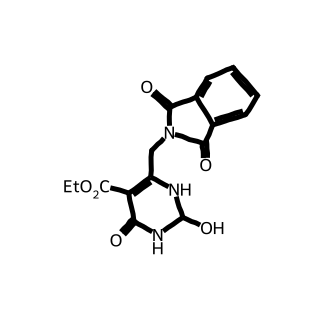 CCOC(=O)C1=C(CN2C(=O)c3ccccc3C2=O)NC(O)NC1=O